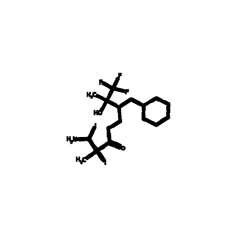 CC(I)(C(=O)CCC(CC1CCCCC1)C(C)(O)C(F)(F)F)C(N)I